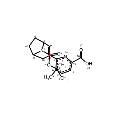 CC(C)(C)OC(=O)N1C2C=C(c3cccc(C(=O)O)n3)CC1CC2